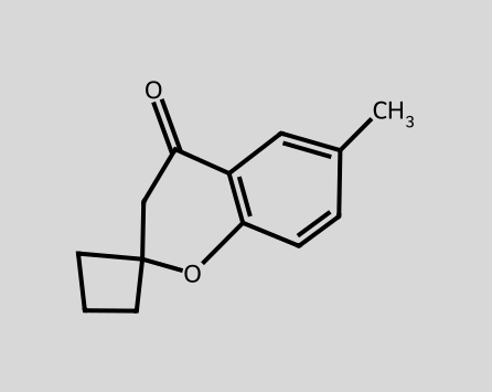 Cc1ccc2c(c1)C(=O)CC1(CCC1)O2